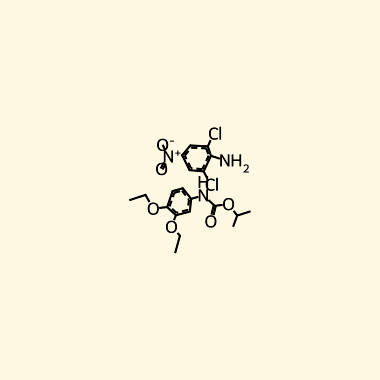 CCOc1ccc(NC(=O)OC(C)C)cc1OCC.Nc1c(Cl)cc([N+](=O)[O-])cc1Cl